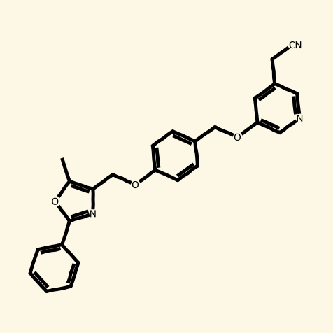 Cc1oc(-c2ccccc2)nc1COc1ccc(COc2cncc(CC#N)c2)cc1